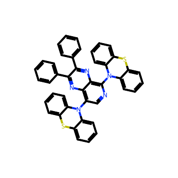 c1ccc(-c2nc3c(N4c5ccccc5Sc5ccccc54)cnc(N4c5ccccc5Sc5ccccc54)c3nc2-c2ccccc2)cc1